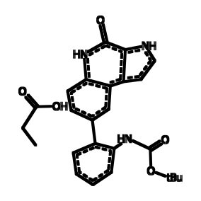 CC(C)(C)OC(=O)Nc1ccccc1-c1ccc2[nH]c(=O)c3[nH]ccc3c2c1.CCC(=O)O